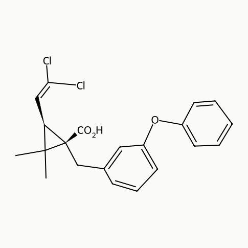 CC1(C)[C@@H](C=C(Cl)Cl)[C@@]1(Cc1cccc(Oc2ccccc2)c1)C(=O)O